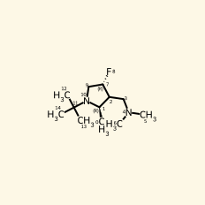 C[C@@H]1C(CN(C)C)[C@@H](F)CN1C(C)(C)C